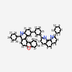 c1ccc(-c2ccc3ccc4ccc(-c5cccc(-c6ccc7nc(-c8ccccc8)c8ccc9oc%10ccccc%10c9c8c7c6)c5)nc4c3n2)cc1